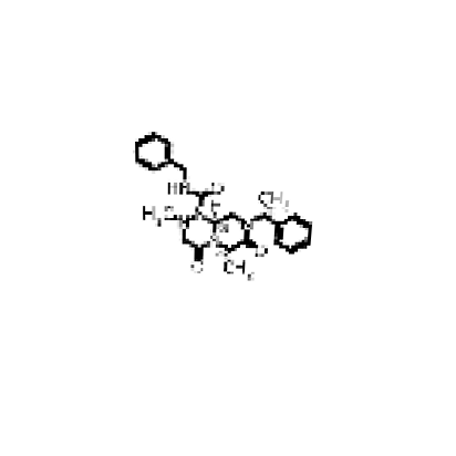 C[C@H](c1ccccc1)N1C[C@H]2N(C(=O)CN(C)N2C(=O)NCc2ccccc2)[C@@H](C)C1=O